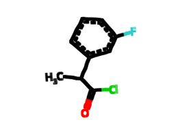 CC(C(=O)Cl)c1cccc(F)c1